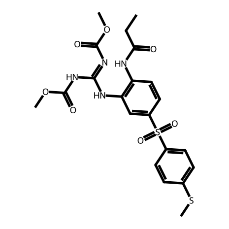 CCC(=O)Nc1ccc(S(=O)(=O)c2ccc(SC)cc2)cc1NC(=NC(=O)OC)NC(=O)OC